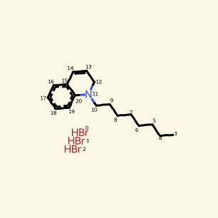 Br.Br.Br.CCCCCCCCN1CC=Cc2ccccc21